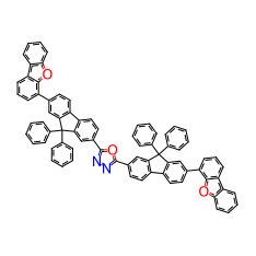 c1ccc(C2(c3ccccc3)c3cc(-c4nnc(-c5ccc6c(c5)C(c5ccccc5)(c5ccccc5)c5cc(-c7cccc8c7oc7ccccc78)ccc5-6)o4)ccc3-c3ccc(-c4cccc5c4oc4ccccc45)cc32)cc1